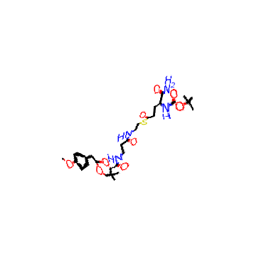 COc1ccc(CC2OCC(C)(C)[C@H](C(=O)NCCC(=O)NCCSC(=O)CC[C@H](NC(=O)OC(C)(C)C)C(N)=O)O2)cc1